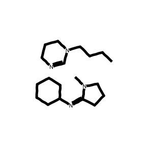 CCCCN1C=NCCC1.CN1CCC/C1=N/C1CCCCC1